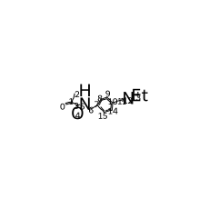 C=C(C)C(=O)NCc1ccc(C#[N+]CC)cc1